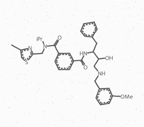 COc1cccc(CNCC(O)C(Cc2ccccc2)NC(=O)c2cccc(C(=O)N(Cc3nc(C)cs3)C(C)C)c2)c1